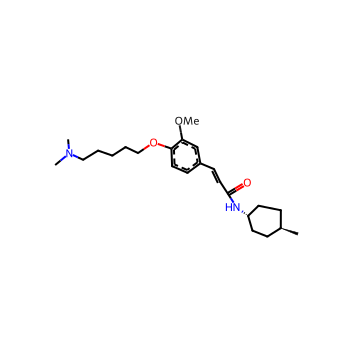 COc1cc(C=CC(=O)N[C@H]2CC[C@H](C)CC2)ccc1OCCCCCN(C)C